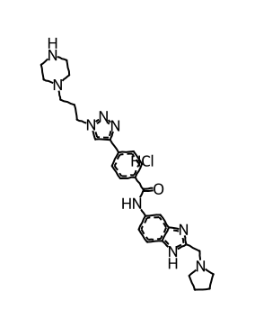 Cl.O=C(Nc1ccc2[nH]c(CN3CCCC3)nc2c1)c1ccc(-c2cn(CCCN3CCNCC3)nn2)cc1